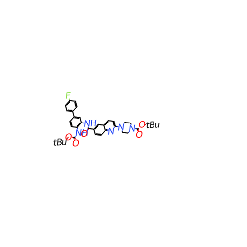 CC(C)(C)OC(=O)Nc1ccc(-c2ccc(F)cc2)cc1NC(=O)c1ccc2nc(N3CCN(C(=O)OC(C)(C)C)CC3)ccc2c1